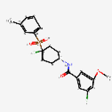 COc1cc(F)cc(C(=O)N[C@H]2CC[C@@](F)(S(=O)(=O)c3cccc(C)c3)CC2)c1